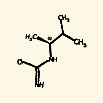 CC(C)[C@H](C)NC(=N)Cl